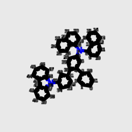 c1ccc(-c2cc(N(c3cccc4ccccc34)c3cccc4ccccc34)ccc2-c2cccc(-n3c4ccccc4c4ccccc43)c2)cc1